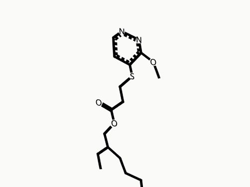 CCCCC(CC)COC(=O)CCSc1ccnnc1OC